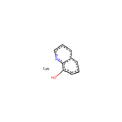 Oc1cccc2cccnc12.[CsH]